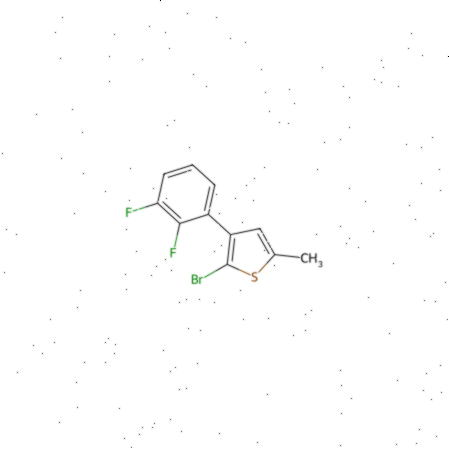 Cc1cc(-c2cccc(F)c2F)c(Br)s1